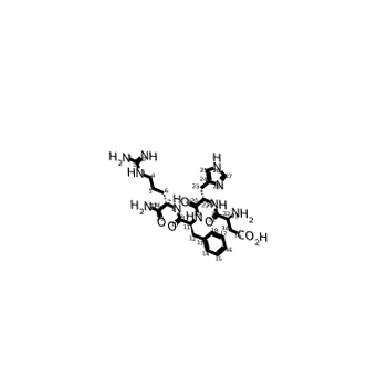 N=C(N)NCCC[C@H](NC(=O)[C@H](Cc1ccccc1)NC(=O)[C@H](Cc1c[nH]cn1)NC(=O)[C@@H](N)CC(=O)O)C(N)=O